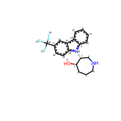 O[C@@H]1CCCNC[C@H]1n1c2ccccc2c2cc(C(F)(F)F)ccc21